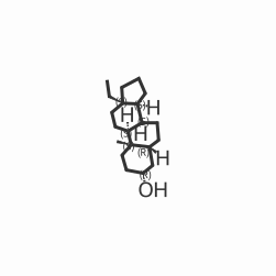 CC[C@@]12CCC[C@H]1[C@@H]1CC[C@@H]3C[C@H](O)CC[C@]3(C)[C@H]1CC2